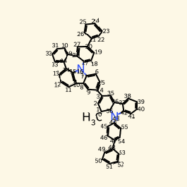 CC1C=C(c2ccc3c(c2)c2cccc4c2n3-c2ccc(-c3ccccc3)cc2-c2ccccc2-4)C=C2c3ccccc3N(c3ccc(-c4ccccc4)cc3)C21